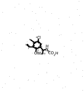 C=Cc1c(C)c(Cl)cc(C(C)NC(=O)O)c1OC